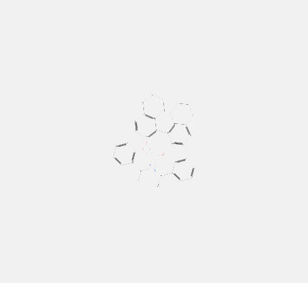 CC(c1ccccc1)N([C@H](C)c1ccccc1)p1oc2ccc3c(c2c2c4c(ccc2o1)CCCC4)CCCC3